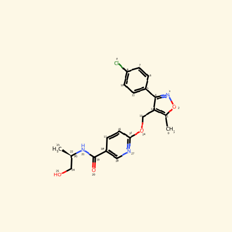 Cc1onc(-c2ccc(Cl)cc2)c1COc1ccc(C(=O)N[C@H](C)CO)cn1